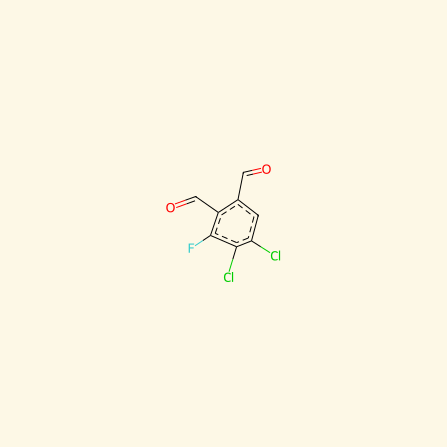 O=Cc1cc(Cl)c(Cl)c(F)c1C=O